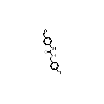 O=Cc1ccc(NC(=O)NCc2ccc(Cl)cc2)cc1